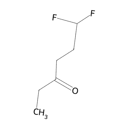 CCC(=O)CCC(F)F